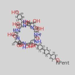 CCCCCOc1ccc(-c2ccc(-c3ccc(C(=O)NC4C[C@@H](O)[C@@H](O)NC(=O)[C@@H]5[C@@H](O)[C@@H](C)CN5C(=O)[C@H]([C@@H](C)O)NC(=O)[C@H]([C@H](O)[C@@H](O)c5ccc(O)cc5)NC(=O)[C@@H]5C[C@@H](O)CN5C(=O)[C@H]([C@@H](C)O)NC4=O)cc3)cc2)cc1